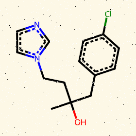 CC(O)(CCn1ccnc1)Cc1ccc(Cl)cc1